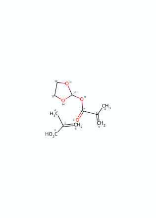 C=C(C)C(=O)O.C=C(C)C(=O)OC1OCCO1